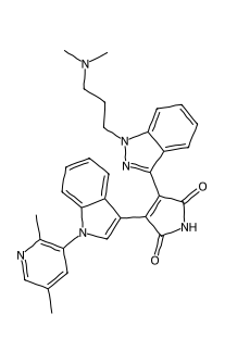 Cc1cnc(C)c(-n2cc(C3=C(c4nn(CCCN(C)C)c5ccccc45)C(=O)NC3=O)c3ccccc32)c1